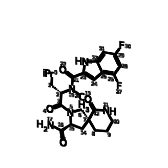 CC(C)C[C@@H](C(=O)N1C[C@]2(CCCNC2=O)C[C@H]1C(N)=O)N(C)C(=O)c1cc2c(F)cc(F)cc2[nH]1